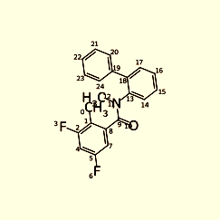 Cc1c(F)cc(F)cc1C(=O)N(C)c1ccccc1-c1ccccc1